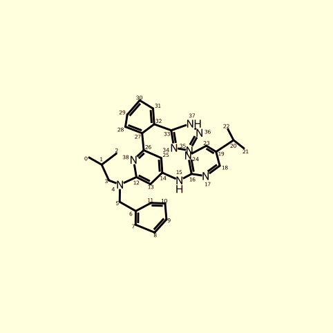 CC(C)CN(Cc1ccccc1)c1cc(Nc2ncc(C(C)C)cn2)cc(-c2ccccc2-c2nnn[nH]2)n1